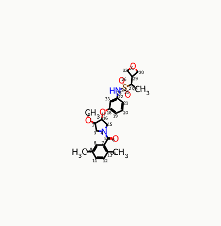 COC1CN(C(=O)c2cc(C)ccc2C)CC1Oc1cccc(NS(=O)(=O)C(C)C2COC2)c1